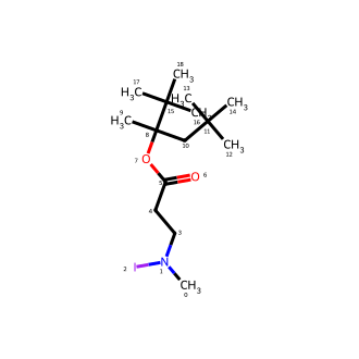 CN(I)CCC(=O)OC(C)(CC(C)(C)C)C(C)(C)C